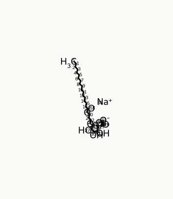 CCCCCCCCCCCCCCCCCC(=O)OCCCO[C@H]1O[C@H](CS(=O)(=O)[O-])[C@@H](O)[C@H](O)[C@H]1O.[Na+]